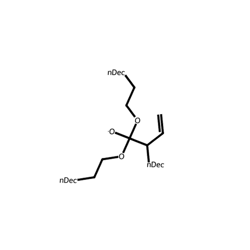 C=CC(CCCCCCCCCC)C([O])(OCCCCCCCCCCCC)OCCCCCCCCCCCC